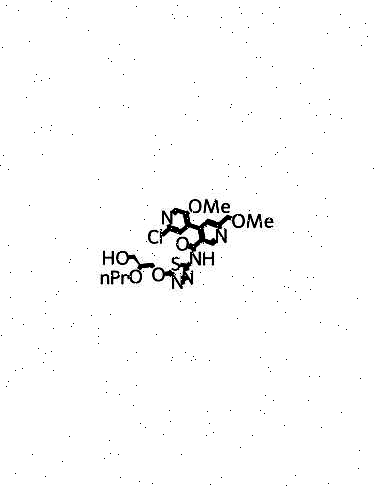 CCCO[C@@H](CO)COc1nnc(NC(=O)c2cnc(COC)cc2-c2cc(Cl)ncc2OC)s1